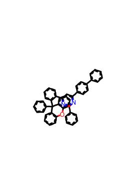 c1ccc(-c2ccc(-c3cc(-c4ccccc4C4(c5ccccc5)c5ccccc5Oc5ccccc54)nc(-c4ccccc4)n3)cc2)cc1